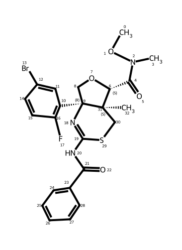 CON(C)C(=O)[C@H]1OC[C@]2(c3cc(Br)ccc3F)N=C(NC(=O)c3ccccc3)SC[C@]12C